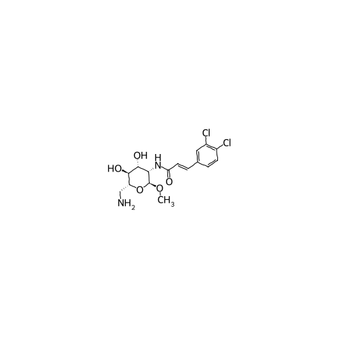 CO[C@H]1O[C@H](CN)[C@@H](O)[C@H](O)[C@@H]1NC(=O)/C=C/c1ccc(Cl)c(Cl)c1